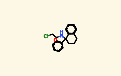 O=C(CCl)NC1(c2ccccc2)CCCc2ccccc21